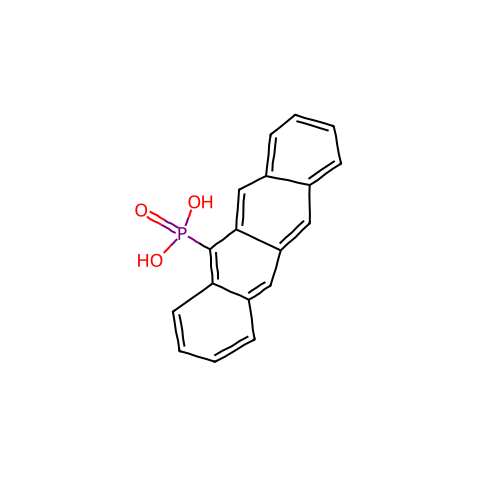 O=P(O)(O)c1c2ccccc2cc2cc3ccccc3cc12